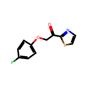 O=C(COc1ccc(F)cc1)c1nccs1